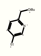 CCc1ccc(COCC(C)C)nc1